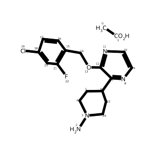 CC(=O)O.NN1CCC(c2nccnc2OCc2ccc(Cl)cc2F)CC1